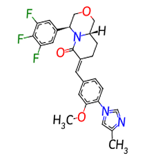 COc1cc(/C=C2\CC[C@H]3COC[C@H](c4cc(F)c(F)c(F)c4)N3C2=O)ccc1-n1cnc(C)c1